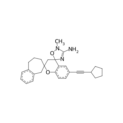 CN1OC2(CC3(CCCc4ccccc4C3)Oc3ccc(C#CC4CCCC4)cc32)N=C1N